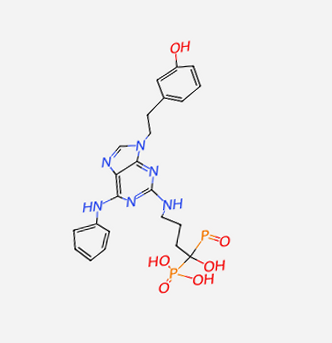 O=PC(O)(CCCNc1nc(Nc2ccccc2)c2ncn(CCc3cccc(O)c3)c2n1)P(=O)(O)O